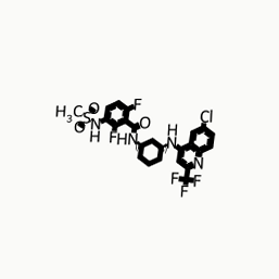 CS(=O)(=O)Nc1ccc(F)c(C(=O)N[C@@H]2CCC[C@H](Nc3cc(C(F)(F)F)nc4ccc(Cl)cc34)C2)c1F